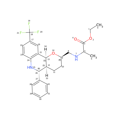 CCOC(=O)C(C)NC[C@H]1CC[C@@H]2[C@H](O1)c1cc(C(F)(F)F)ccc1N[C@H]2c1ccccc1